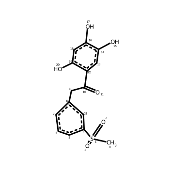 CS(=O)(=O)c1cccc(CC(=O)c2cc(O)c(O)cc2O)c1